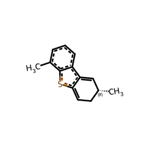 Cc1cccc2c3c(sc12)=CC[C@@H](C)C=3